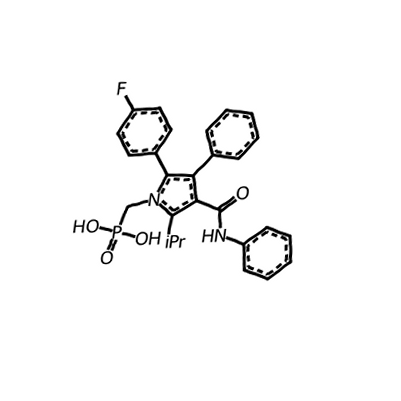 CC(C)c1c(C(=O)Nc2ccccc2)c(-c2ccccc2)c(-c2ccc(F)cc2)n1CP(=O)(O)O